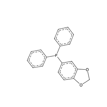 c1ccc(P(c2ccccc2)c2ccc3c(c2)OCO3)cc1